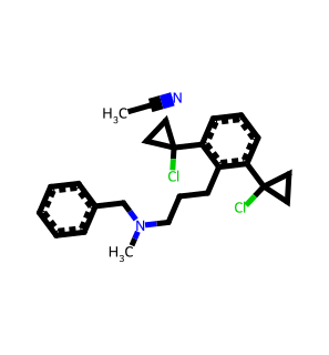 CC#N.CN(CCCc1c(C2(Cl)CC2)cccc1C1(Cl)CC1)Cc1ccccc1